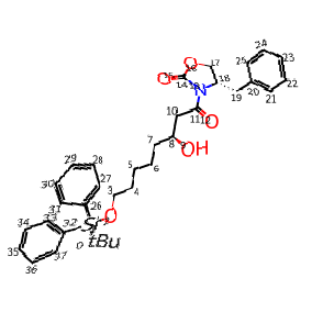 CC(C)(C)[Si](OCCCCC[C@H](O)CC(=O)N1C(=O)OC[C@@H]1Cc1ccccc1)(c1ccccc1)c1ccccc1